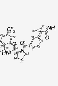 NC(=O)C1(c2cccc(C(=O)N3CCC[C@@H]3C(=O)NC(c3ccc(C(F)(F)F)cc3F)C3CC3)c2)CC1